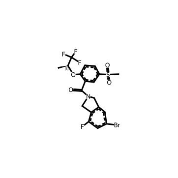 C[C@H](Oc1ccc(S(C)(=O)=O)cc1C(=O)N1Cc2cc(Br)cc(F)c2C1)C(F)(F)F